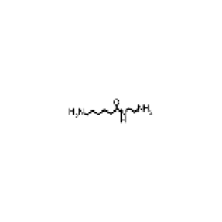 NCCCCCC(=O)NCCN